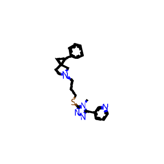 Cn1c(SCCCN2CCC3(CC3c3ccccc3)C2)nnc1-c1cccnc1